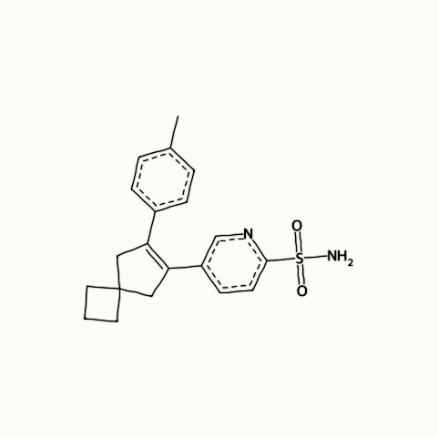 Cc1ccc(C2=C(c3ccc(S(N)(=O)=O)nc3)CC3(CCC3)C2)cc1